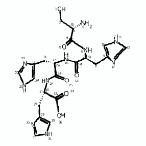 N[C@@H](CO)C(=O)N[C@@H](Cc1c[nH]cn1)C(=O)N[C@@H](Cc1c[nH]cn1)C(=O)N[C@@H](Cc1c[nH]cn1)C(=O)O